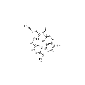 C#CCCOC(=O)N1CCc2c(F)ccc(-c3cc(CC(=O)O)ccc3OCC)c2C1